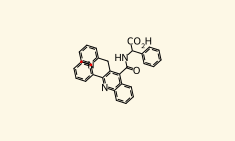 O=C(NC(C(=O)O)c1ccccc1)c1c(Cc2ccccn2)c(-c2ccccc2)nc2ccccc12